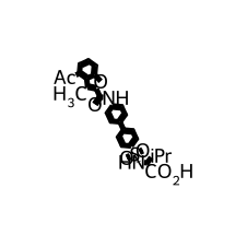 CC(=O)c1cccc2oc(C(=O)Nc3ccc(-c4ccc(S(=O)(=O)N[C@H](C(=O)O)C(C)C)cc4)cc3)c(C)c12